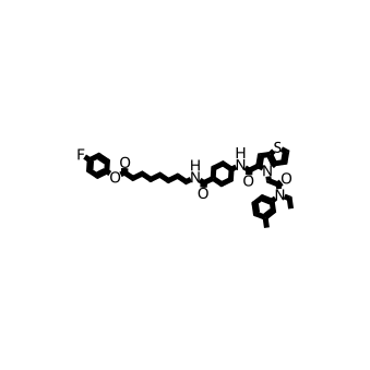 CCN(C(=O)Cn1c(C(=O)NC2CCC(C(=O)NCCCCCCCC(=O)Oc3ccc(F)cc3)CC2)cc2sccc21)c1cccc(C)c1